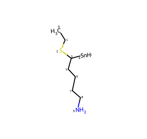 CCS[CH]([SnH])CCCCN